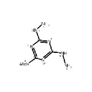 CNc1nc(NN)nc(NN)n1